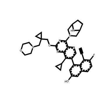 C#Cc1c(F)ccc2cc(O)cc(-c3cnc4c(N5CC6CCC(C5)N6)nc(OCC5(CN6CCOCC6)CC5)nc4c3C3CC3)c12